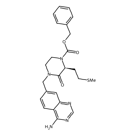 CSCC[C@H]1C(=O)N(Cc2ccc3c(N)ncnc3c2)CCN1C(=O)OCc1ccccc1